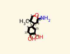 CC1=COC(N)=CC1c1ccc(O)c(O)c1